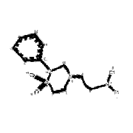 CCN(CC)CCN1CCS(=O)(=O)N(c2ccccc2)C1